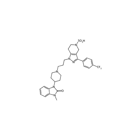 Cn1c(=O)n(C2CCN(CCCn3nc(-c4ccc(C(F)(F)F)cc4)c4c3CCN(S(=O)(=O)O)C4)CC2)c2ccccc21